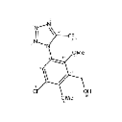 COc1c(Cl)cc(-n2nnnc2C(F)(F)F)c(OC)c1CO